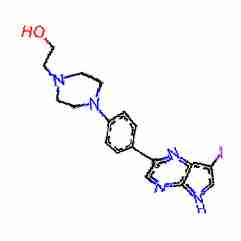 OCCN1CCN(c2ccc(-c3cnc4[nH]cc(I)c4n3)cc2)CC1